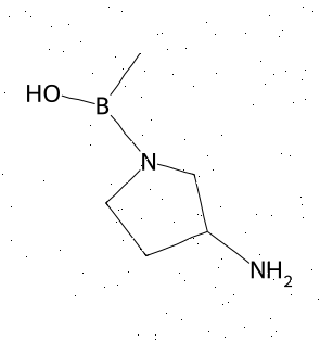 CB(O)N1CCC(N)C1